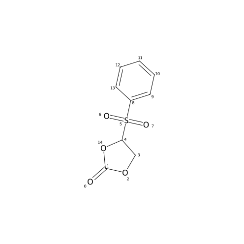 O=C1OCC(S(=O)(=O)c2ccccc2)O1